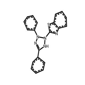 c1ccc(C2=NN(c3ccccc3)N(c3nc4ccccc4s3)N2)cc1